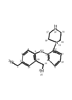 [2H]Cc1ccc(Sc2ccccc2N2CCNCC2)c(C[2H])c1